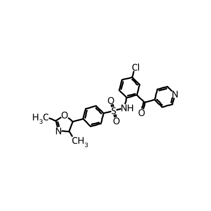 CC1=NC(C)C(c2ccc(S(=O)(=O)Nc3ccc(Cl)cc3C(=O)c3ccncc3)cc2)O1